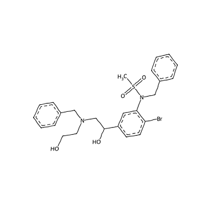 CS(=O)(=O)N(Cc1ccccc1)c1cc(C(O)CN(CCO)Cc2ccccc2)ccc1Br